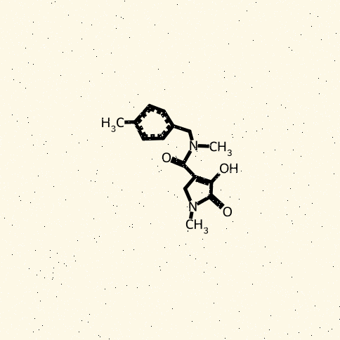 Cc1ccc(CN(C)C(=O)C2=C(O)C(=O)N(C)C2)cc1